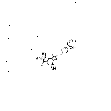 CCCN(OCC)C(=O)C1=Cc2sc(CCC3CCN(C(O)OC(C)(C)C)CC3)cc2N=C(N)C1